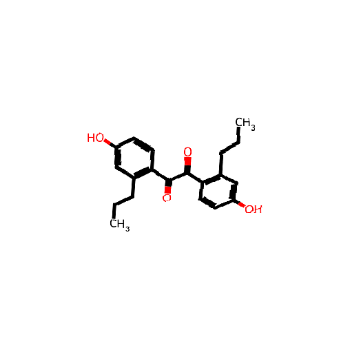 CCCc1cc(O)ccc1C(=O)C(=O)c1ccc(O)cc1CCC